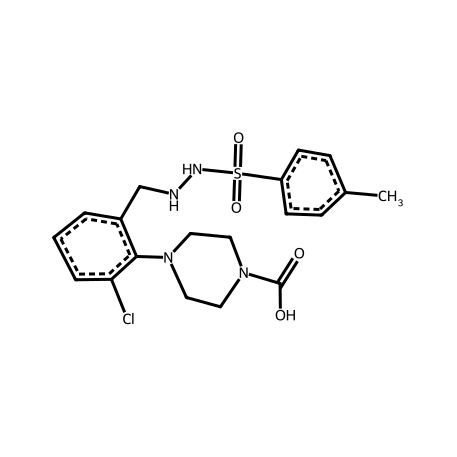 Cc1ccc(S(=O)(=O)NNCc2cccc(Cl)c2N2CCN(C(=O)O)CC2)cc1